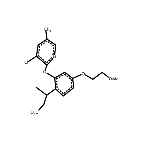 COCCOc1ccc(C(C)CC(=O)O)c(Oc2ncc(C(F)(F)F)cc2Cl)c1